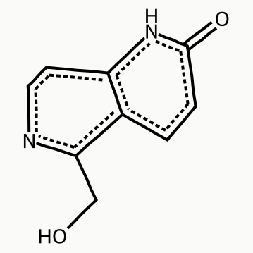 O=c1ccc2c(CO)nccc2[nH]1